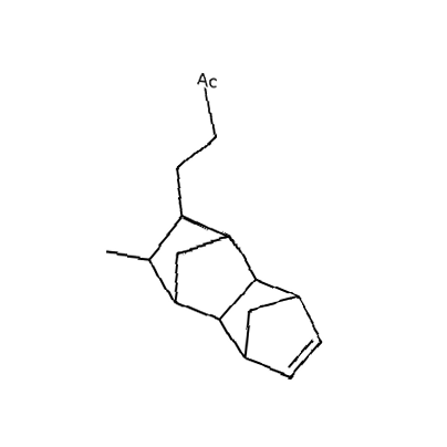 CC(=O)CCC1C(C)C2CC1C1C3C=CC(C3)C21